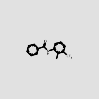 Cc1c(NC(=O)c2ccccc2)cccc1C(F)(F)F